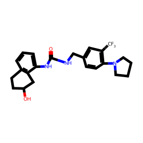 O=C(NCc1ccc(N2CCCC2)c(C(F)(F)F)c1)Nc1cccc2c1CC(O)CC2